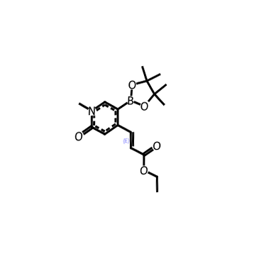 CCOC(=O)/C=C/c1cc(=O)n(C)cc1B1OC(C)(C)C(C)(C)O1